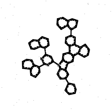 c1ccc(-c2ccc3c(c2)c2cc4c5ccccc5c5cc(-c6cccc7ccccc67)ccc5c4cc2n3-c2cc(-c3cccc4ccccc34)nc(-c3cccc4ccccc34)n2)cc1